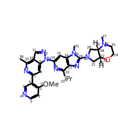 COc1ccncc1-c1cc2c(cnn2-c2cc3c(nc(N4C[C@H]5OCCN(C)[C@H]5C4)n3C)c(C(C)C)n2)c(C)n1